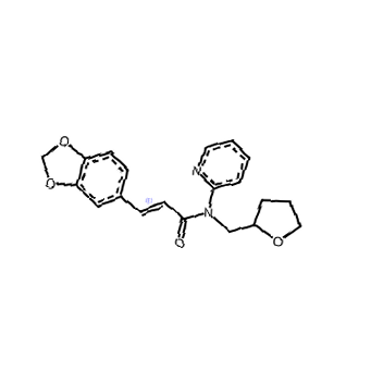 O=C(/C=C/c1ccc2c(c1)OCO2)N(CC1CCCO1)c1ccccn1